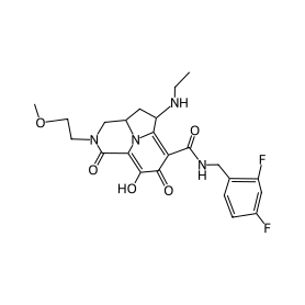 CCNC1CC2CN(CCOC)C(=O)c3c(O)c(=O)c(C(=O)NCc4ccc(F)cc4F)c1n32